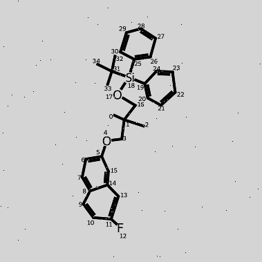 CC(C)(COc1ccc2ccc(F)cc2c1)CO[Si](c1ccccc1)(c1ccccc1)C(C)(C)C